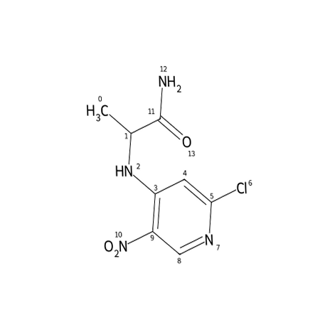 CC(Nc1cc(Cl)ncc1[N+](=O)[O-])C(N)=O